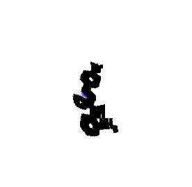 Nc1ccccc1NC(=O)/C=C/c1ccc(Br)cc1